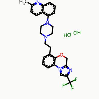 Cc1ccc2c(N3CCN(CCc4cccc5c4OCc4nc(C(F)(F)F)cn4-5)CC3)cccc2n1.Cl.Cl